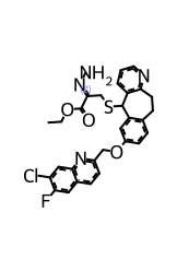 CCOC(=O)/C(CSC1c2cc(OCc3ccc4cc(F)c(Cl)cc4n3)ccc2CCc2ncccc21)=N/N